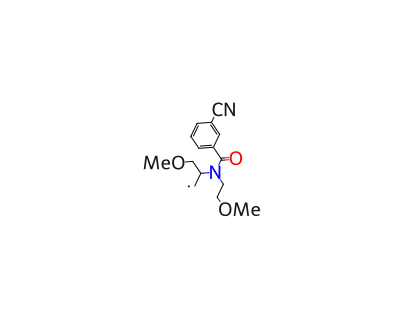 [CH2]C(COC)N(CCOC)C(=O)c1cccc(C#N)c1